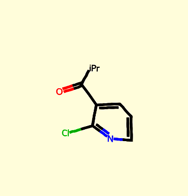 CC(C)C(=O)c1cccnc1Cl